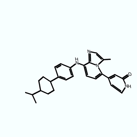 Cc1cnc2c(Nc3ccc(C4CCC(C(C)C)CC4)cc3)ccc(-c3cc[nH]c(=O)c3)n12